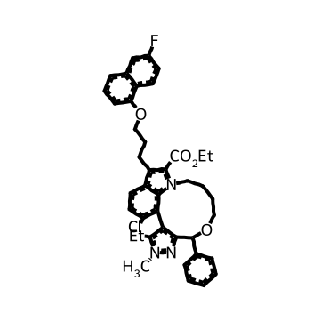 CCOC(=O)c1c(CCCOc2cccc3cc(F)ccc23)c2ccc(Cl)c3c2n1CCCCOC(c1ccccc1)c1nn(C)c(CC)c1-3